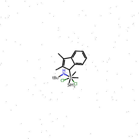 CC1=C(C)[CH]([Ti]([CH3])([CH3])([SiH3])([Cl])([Cl])[NH]C(C)(C)C)c2ccccc21